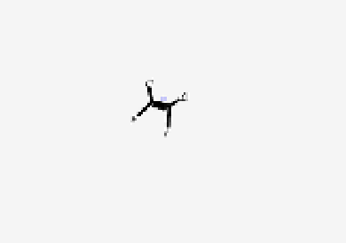 F/C(Cl)=C(\F)Cl